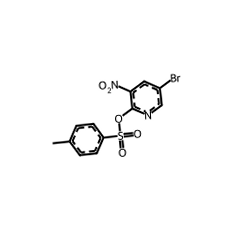 Cc1ccc(S(=O)(=O)Oc2ncc(Br)cc2[N+](=O)[O-])cc1